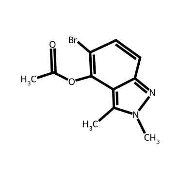 CC(=O)Oc1c(Br)ccc2nn(C)c(C)c12